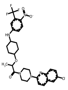 CC(OC1CCC(Nc2ccc([N+](=O)[O-])c(C(F)(F)F)c2)CC1)C(=O)N1CCN(c2ccc3cc(Cl)ccc3n2)CC1